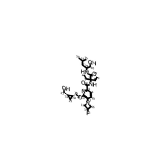 CCC(CC)(NC(=O)c1ccc(N2CC(F)C2)c(OC[C@@H]2C[C@H]2CO)n1)C(=O)NC(CO)CC(C)C